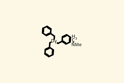 CNC.c1ccc([CH2][Dy]([CH2]c2ccccc2)[CH2]c2ccccc2)cc1